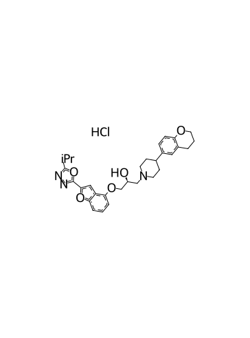 CC(C)c1nnc(-c2cc3c(OC[C@@H](O)CN4CCC(c5ccc6c(c5)CCCO6)CC4)cccc3o2)o1.Cl